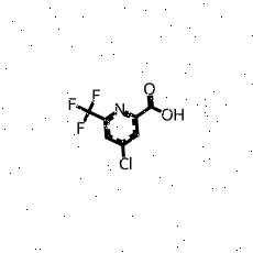 O=C(O)c1cc(Cl)cc(C(F)(F)F)n1